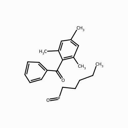 CCCCCP=O.Cc1cc(C)c(C(=O)c2ccccc2)c(C)c1